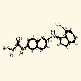 CC(C)NC(=O)Nc1ccc2nc(NC3CCc4cccc(F)c43)ccc2c1